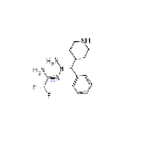 N/C(=N\N(N)C(c1ccccc1)C1CCNCC1)C(F)F